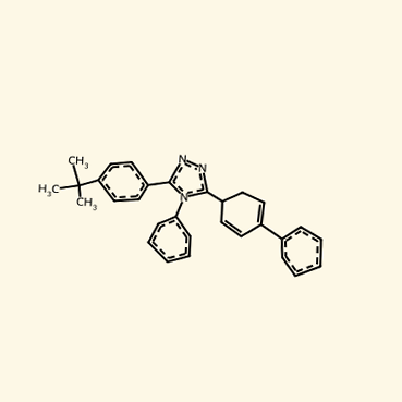 CC(C)(C)c1ccc(-c2nnc(C3C=CC(c4ccccc4)=CC3)n2-c2ccccc2)cc1